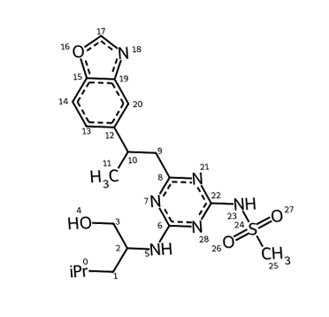 CC(C)CC(CO)Nc1nc(CC(C)c2ccc3ocnc3c2)nc(NS(C)(=O)=O)n1